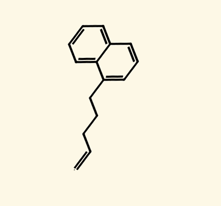 [CH]=CCCCc1cccc2ccccc12